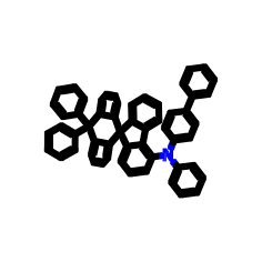 c1ccc(-c2ccc(N(c3ccccc3)c3cccc4c3-c3ccccc3C43c4ccccc4C(c4ccccc4)(c4ccccc4)c4ccccc43)cc2)cc1